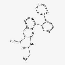 CCC(=O)Nc1cc2c(-c3cnccc3-c3ccccc3)ncnc2cc1OC